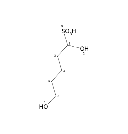 O=S(=O)(O)C(O)CCCCO